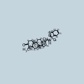 CN1C(=O)CC[C@]2(C)[C@H]3CC[C@]4(C)[C@@H](CNS(=O)(=O)C5=CC=CCC5=S)CC[C@H]4[C@@H]3CC[C@@H]12